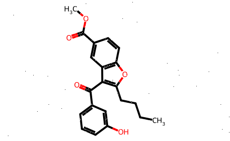 CCCCc1oc2ccc(C(=O)OC)cc2c1C(=O)c1cccc(O)c1